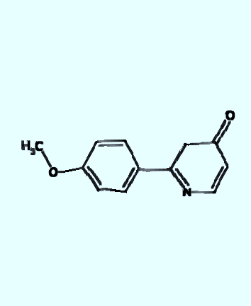 COc1ccc(C2=NC=CC(=O)C2)cc1